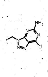 CCn1nnc2c(Cl)nc(N)nc21